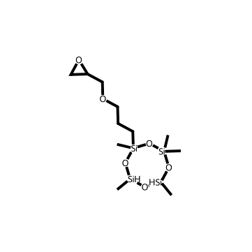 C[SiH]1O[SiH](C)O[Si](C)(CCCOCC2CO2)O[Si](C)(C)O1